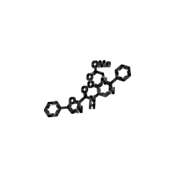 COC(=O)Cn1c(-c2ccccc2)ncc(NC(=O)c2ncc(-c3ccccc3)o2)c1=O